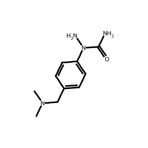 CN(C)Cc1ccc(N(N)C(N)=O)cc1